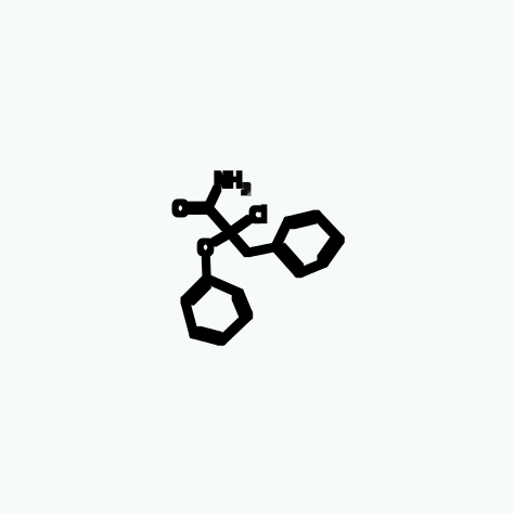 NC(=O)C(Cl)(Cc1ccccc1)Oc1ccccc1